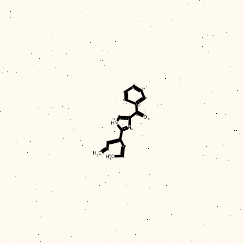 C=C/C=C(\C=C/C)c1nc(C(=O)c2ccccc2)c[nH]1